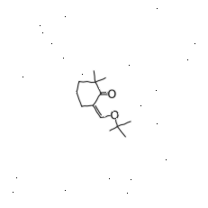 CC(C)(C)O/C=C1/CCCC(C)(C)C1=O